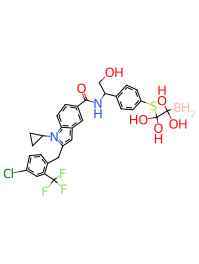 BC(O)(O)C(O)(O)Sc1ccc(C(CO)NC(=O)c2ccc3c(c2)cc(Cc2ccc(Cl)cc2C(F)(F)F)n3C2CC2)cc1